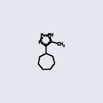 Cc1[pH]ppc1C1CCCCCC1